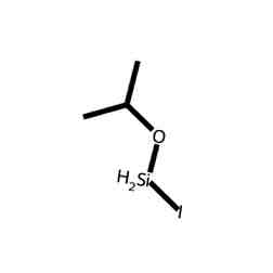 CC(C)O[SiH2]I